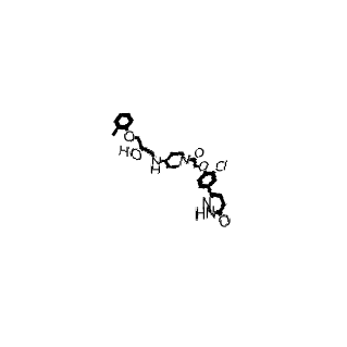 Cc1ccccc1OCC(O)CNC1CCN(C(=O)COc2ccc(C3=NNC(=O)CC3)cc2Cl)CC1